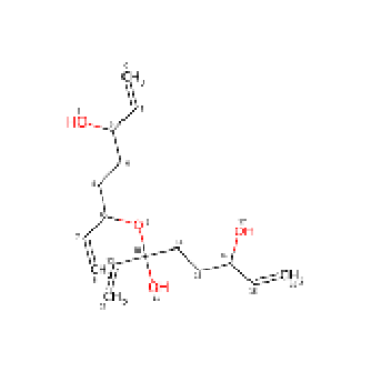 C=CC(O)CCC(C=C)OC(O)(C=C)CCC(O)C=C